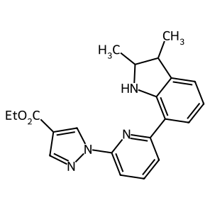 CCOC(=O)c1cnn(-c2cccc(-c3cccc4c3NC(C)C4C)n2)c1